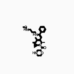 CC/C(C)=C(/C=C(\NCCCNOC)c1ccccc1)[C@@H](C)N(C(=O)[C@H]1CNCCO1)C1CC1